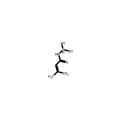 CC(C)=CC(=O)N[SH](S)S